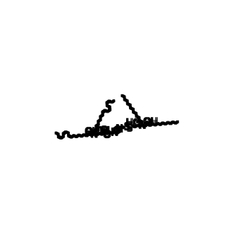 CC/C=C\C/C=C\C/C=C\CCCCCCC(O)CN(CCCC(=O)OCCN1CCN(CCSSCCCCN(CC(O)CCCCCCCCCCCC)CC(O)CCCCCCCCCCCC)CC1)CC(O)CCCCCC/C=C\C/C=C\C/C=C\CC